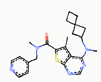 Cc1c(C(=O)N(C)Cc2ccncc2)sc2ncnc(N(C)C3CC4(CCC4)C3)c12